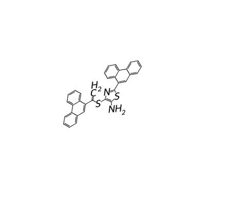 C=C(Sc1nc(-c2cc3ccccc3c3ccccc23)sc1N)c1cc2ccccc2c2ccccc12